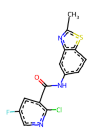 Cc1nc2cc(NC(=O)c3cc(F)cnc3Cl)ccc2s1